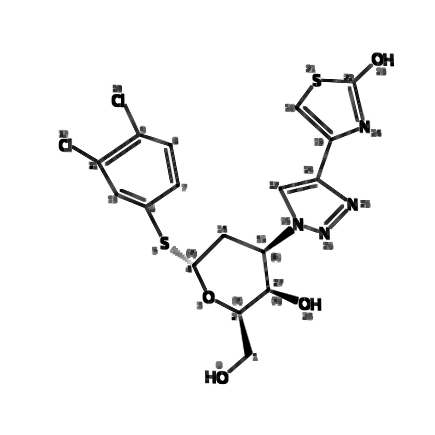 OC[C@H]1O[C@H](Sc2ccc(Cl)c(Cl)c2)C[C@@H](n2cc(-c3csc(O)n3)nn2)[C@H]1O